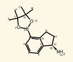 CC1(C)OB(c2cccc3c2CC[C@H]3N)OC1(C)C